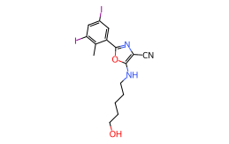 Cc1c(I)cc(I)cc1-c1nc(C#N)c(NCCCCCO)o1